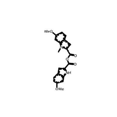 COc1ccc2cc(C(=O)OC(=O)c3cc4ccc(OC)cc4n3C)[nH]c2c1